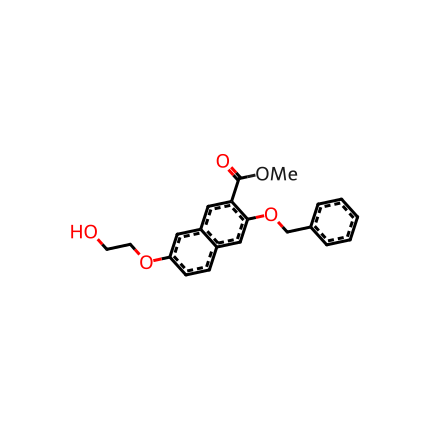 COC(=O)c1cc2cc(OCCO)ccc2cc1OCc1ccccc1